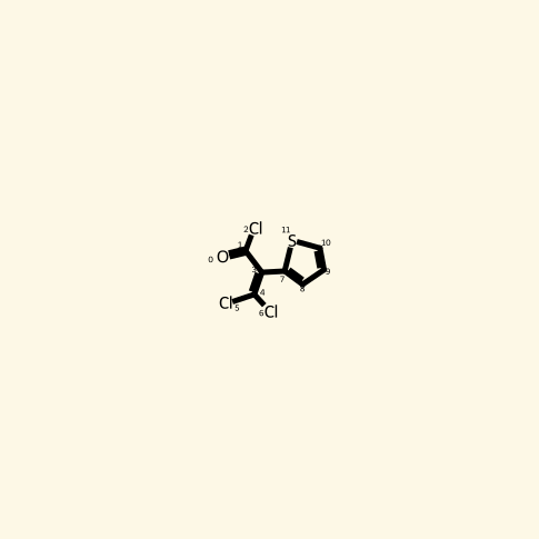 O=C(Cl)C(=C(Cl)Cl)c1cccs1